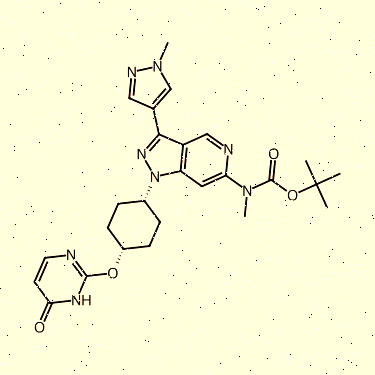 CN(C(=O)OC(C)(C)C)c1cc2c(cn1)c(-c1cnn(C)c1)nn2[C@H]1CC[C@@H](Oc2nccc(=O)[nH]2)CC1